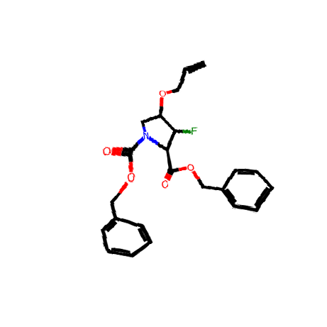 C=CCOC1CN(C(=O)OCc2ccccc2)C(C(=O)OCc2ccccc2)C1F